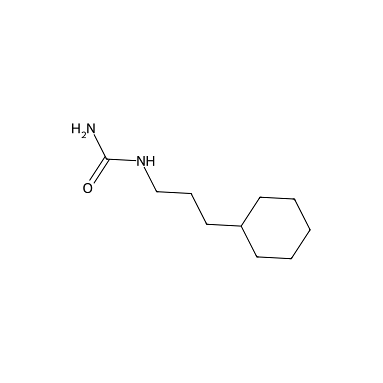 NC(=O)NCCCC1CCCCC1